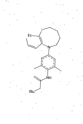 C=C(CC(C)(C)C)Nc1c(C)cc(N2CCCCC/C(CC)=C2/C=C\C)cc1C